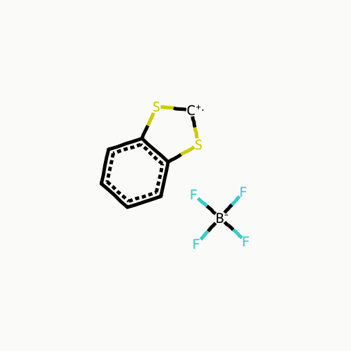 F[B-](F)(F)F.[C+]1Sc2ccccc2S1